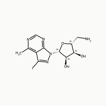 Cc1ncnc2c1c(I)nn2[C@@H]1O[C@H](CN)[C@@H](O)[C@H]1O